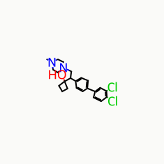 CN1CCN(CC(c2ccc(-c3ccc(Cl)c(Cl)c3)cc2)C2(O)CCC2)CC1